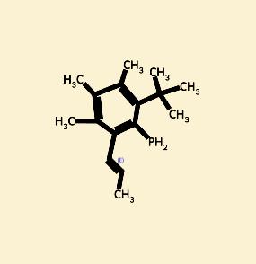 C/C=C/c1c(C)c(C)c(C)c(C(C)(C)C)c1P